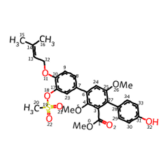 COC(=O)c1c(OC)c(-c2ccc(OCC=C(C)C)c(OS(C)(=O)=O)c2)cc(OC)c1-c1ccc(O)cc1